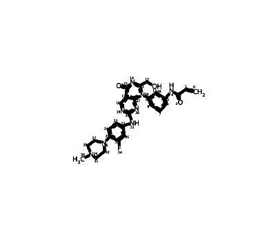 C=CC(=O)Nc1cccc(-n2c(CO)nc(=O)c3cnc(Nc4ccc(N5CCN(C)CC5)c(F)c4)nc32)c1